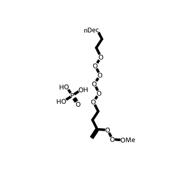 C=C(CCOOOOOOCCCCCCCCCCCC)OOOC.O=P(O)(O)O